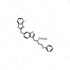 O=CON(CCOc1ccccc1)Cc1coc2cc(Oc3nc4ncccc4s3)ccc12